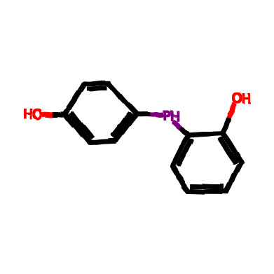 Oc1ccc(Pc2ccccc2O)cc1